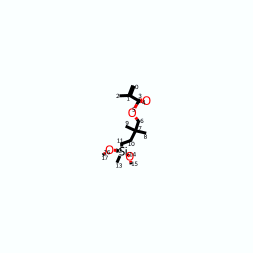 C=C(C)C(=O)OCC(C)(C)CC[Si](C)(OC)OC